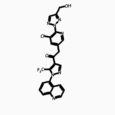 O=C(Cc1cnc(-n2ncc(CO)n2)c(Cl)c1)c1cnn(-c2cccc3ncccc23)c1C(F)(F)F